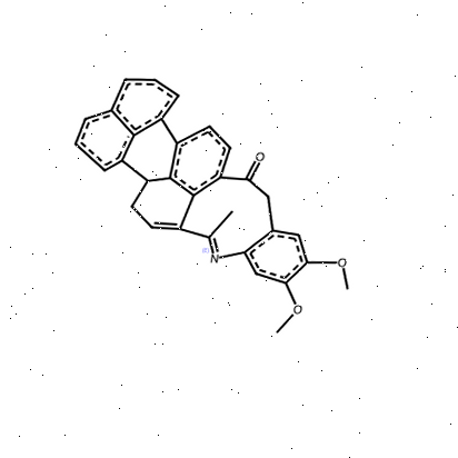 COc1cc2c(cc1OC)/N=C(\C)C1=CCC3c4c(ccc(c41)C(=O)C2)-c1cccc2cccc3c12